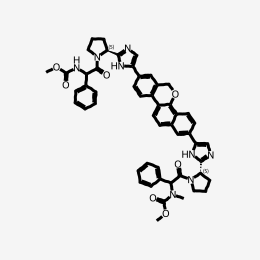 COC(=O)NC(C(=O)N1CCC[C@H]1c1ncc(-c2ccc3c(c2)COc2c-3ccc3cc(-c4cnc([C@@H]5CCCN5C(=O)C(c5ccccc5)N(C)C(=O)OC)[nH]4)ccc23)[nH]1)c1ccccc1